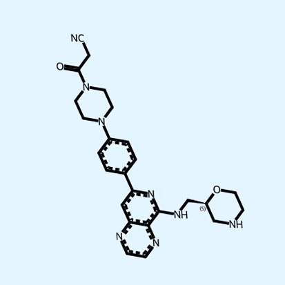 N#CCC(=O)N1CCN(c2ccc(-c3cc4nccnc4c(NC[C@@H]4CNCCO4)n3)cc2)CC1